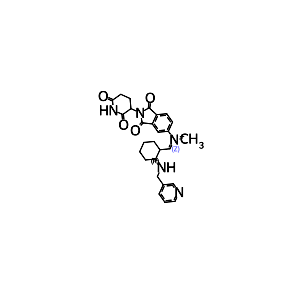 C/[N+](=C/C1CCCC[C@H]1NCc1cccnc1)c1ccc2c(c1)C(=O)N(C1CCC(=O)NC1=O)C2=O